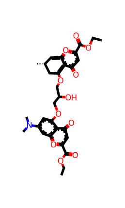 CCOC(=O)c1cc(=O)c2c(o1)=C[C@@H](C)CC=2OCC(O)COc1cc(N(C)C)cc2oc(C(=O)OCC)cc(=O)c12